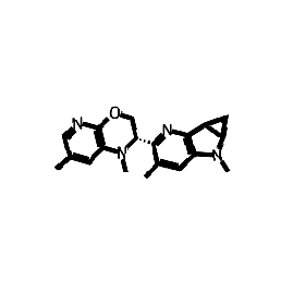 Cc1cnc2c(c1)N(C)[C@@H](c1nc3c(cc1C)N(C)C1CC31)CO2